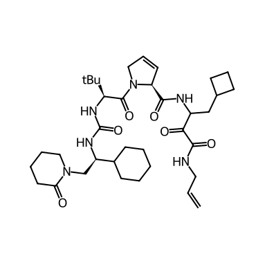 C=CCNC(=O)C(=O)C(CC1CCC1)NC(=O)[C@@H]1C=CCN1C(=O)[C@@H](NC(=O)N[C@H](CN1CCCCC1=O)C1CCCCC1)C(C)(C)C